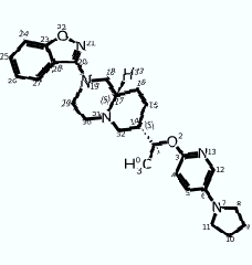 CC(Oc1ccc(N2CCCC2)cn1)[C@H]1CC[C@H]2CN(c3noc4ccccc34)CCN2C1